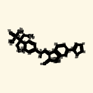 CCC(CC)(c1ccc(NC=C2C(=O)Nc3cc(-c4ccco4)ccc32)cc1)P(=O)(O)O